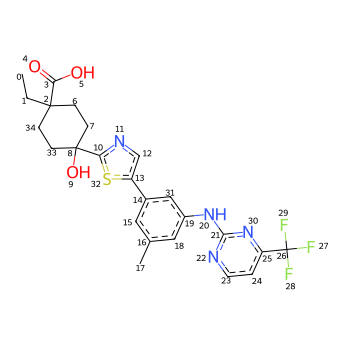 CCC1(C(=O)O)CCC(O)(c2ncc(-c3cc(C)cc(Nc4nccc(C(F)(F)F)n4)c3)s2)CC1